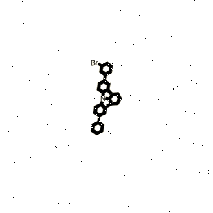 Brc1cccc(-c2ccc3c(c2)c2cccc4c5cc(-c6ccccc6)ccc5n3c42)c1